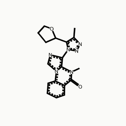 Cc1nnn(-c2ncn3c4ccccc4c(=O)n(C)c23)c1C1CCCO1